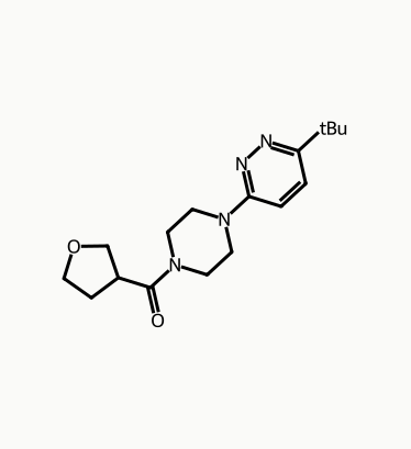 CC(C)(C)c1ccc(N2CCN(C(=O)C3CCOC3)CC2)nn1